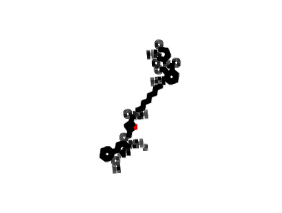 Nc1nnc(-c2ccccc2O)cc1OCC12CC(C(=O)NCCCCCCCCNc3cccc4c3C(=O)N(C3CCC(=O)NC3=O)C4=O)(C1)C2